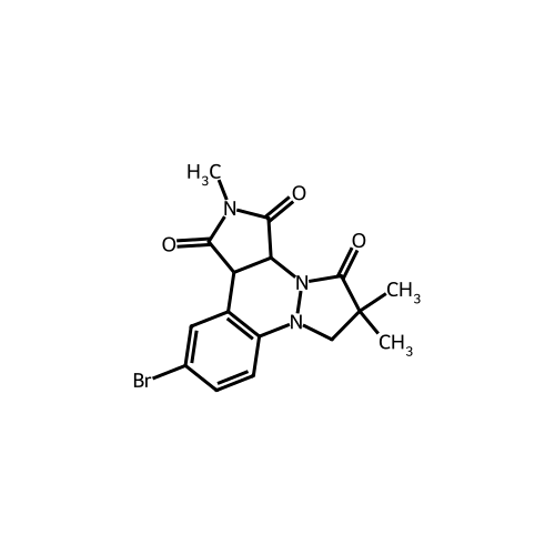 CN1C(=O)C2c3cc(Br)ccc3N3CC(C)(C)C(=O)N3C2C1=O